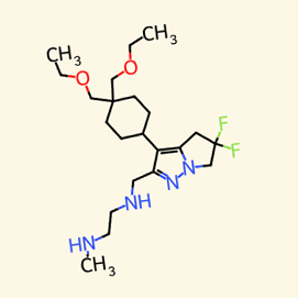 CCOCC1(COCC)CCC(c2c(CNCCNC)nn3c2CC(F)(F)C3)CC1